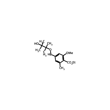 CCOC(=O)c1c(C)cc(BOC(C)(C)C(C)(C)O)cc1OC